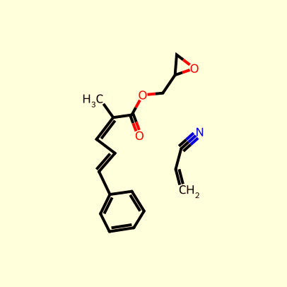 C=CC#N.CC(=CC=Cc1ccccc1)C(=O)OCC1CO1